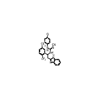 N#CN=C(Nc1ccc(Cl)cc1)NC(Cc1nc2ccccc2[nH]1)c1cc(C(F)(F)F)ccc1C(F)(F)F